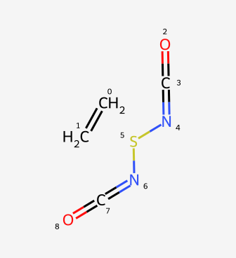 C=C.O=C=NSN=C=O